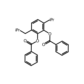 CC(C)Cc1ccc(C(C)C)c(OC(=O)c2ccccc2)c1OC(=O)c1ccccc1